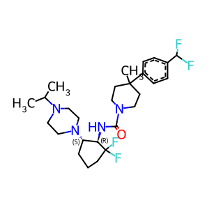 CC(C)N1CCN([C@H]2CCCC(F)(F)[C@@H]2NC(=O)N2CCC(C)(c3ccc(C(F)F)cc3)CC2)CC1